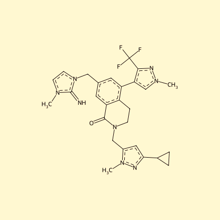 Cn1cc(-c2cc(Cn3ccn(C)c3=N)cc3c2CCN(Cc2cc(C4CC4)nn2C)C3=O)c(C(F)(F)F)n1